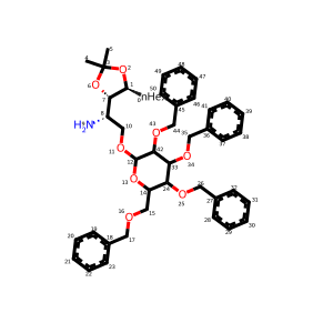 CCCCCC[C@@H]1OC(C)(C)O[C@H]1[C@@H](N)COC1OC(COCc2ccccc2)C(OCc2ccccc2)C(OCc2ccccc2)C1OCc1ccccc1